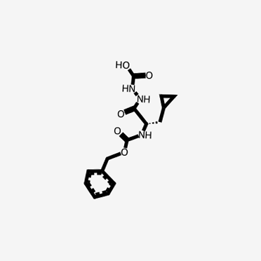 O=C(O)NNC(=O)[C@H](CC1CC1)NC(=O)OCc1ccccc1